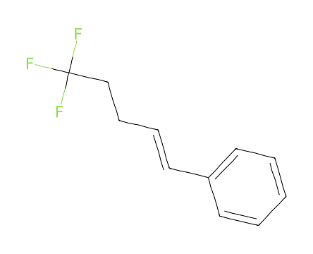 FC(F)(F)CCC=Cc1ccccc1